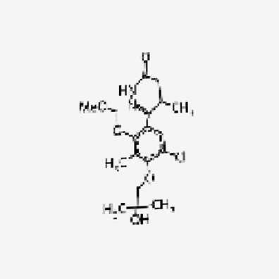 COCOc1c(C2=NNC(=O)CC2C)cc(Cl)c(OCC(C)(C)O)c1C